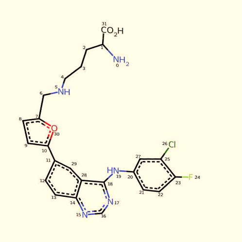 NC(CCCNCc1ccc(-c2ccc3ncnc(Nc4ccc(F)c(Cl)c4)c3c2)o1)C(=O)O